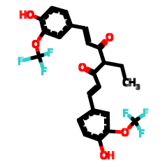 CCC(C(=O)/C=C/c1ccc(O)c(OC(F)(F)F)c1)C(=O)/C=C/c1ccc(O)c(OC(F)(F)F)c1